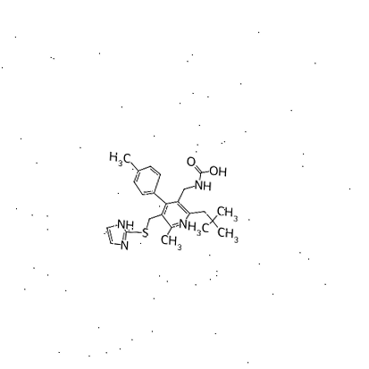 Cc1ccc(-c2c(CSc3ncc[nH]3)c(C)nc(CC(C)(C)C)c2CNC(=O)O)cc1